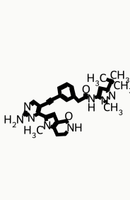 Cn1nc(C(C)(C)C)cc1NC(=O)Cc1cccc(C#Cc2cnc(N)nc2-c2cc3c(n2C)CCNC3=O)c1